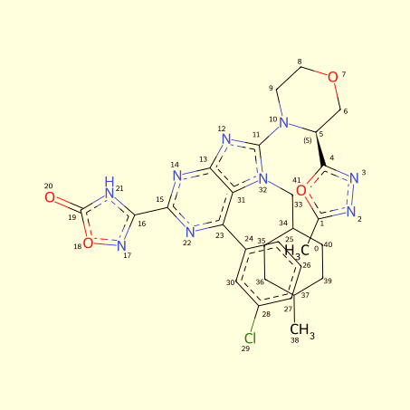 Cc1nnc([C@@H]2COCCN2c2nc3nc(-c4noc(=O)[nH]4)nc(-c4cccc(Cl)c4)c3n2CC2CCC(C)CC2)o1